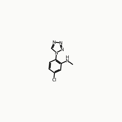 CNc1cc(Cl)ccc1-n1cnnn1